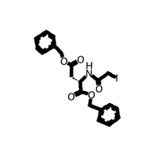 O=C(CI)N[C@@H](CC(=O)OCc1ccccc1)C(=O)OCc1ccccc1